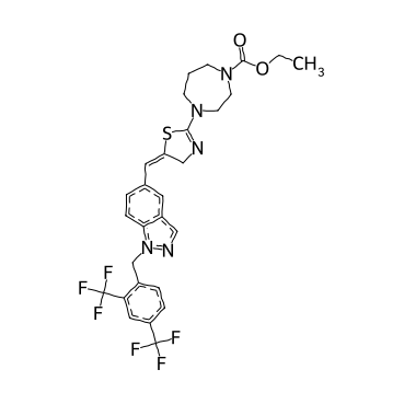 CCOC(=O)N1CCCN(C2=NCC(=Cc3ccc4c(cnn4Cc4ccc(C(F)(F)F)cc4C(F)(F)F)c3)S2)CC1